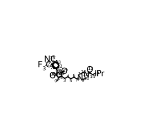 CC1=C(CCCCCN2CCN(C(=O)CC(C)C)CC2)C(=O)N(c2ccc(C#N)c(C(F)(F)F)c2)C1=O